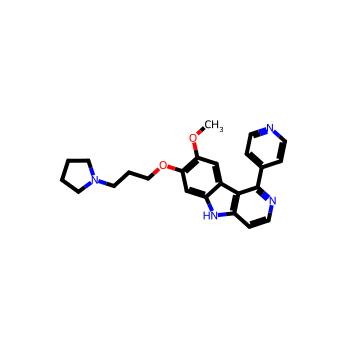 COc1cc2c(cc1OCCCN1CCCC1)[nH]c1ccnc(-c3ccncc3)c12